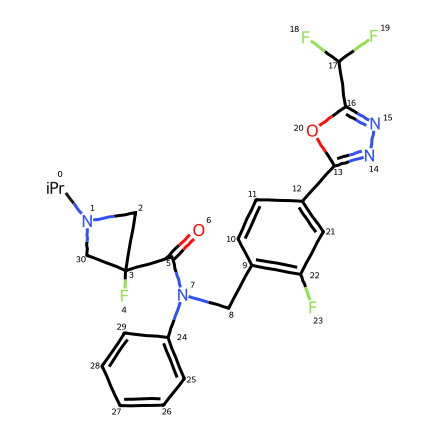 CC(C)N1CC(F)(C(=O)N(Cc2ccc(-c3nnc(C(F)F)o3)cc2F)c2ccccc2)C1